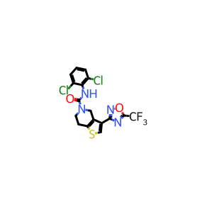 O=C(Nc1c(Cl)cccc1Cl)N1CCc2scc(-c3noc(C(F)(F)F)n3)c2C1